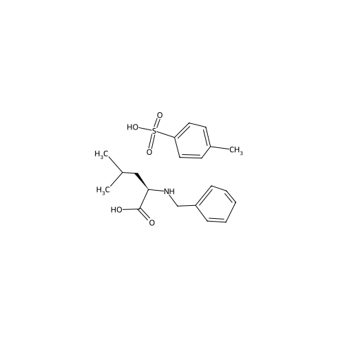 CC(C)C[C@@H](NCc1ccccc1)C(=O)O.Cc1ccc(S(=O)(=O)O)cc1